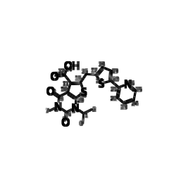 CC(C)n1c(=O)n(C)c(=O)c2c(C(=O)O)c(Cc3ccc(-c4ccccn4)s3)sc21